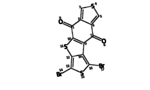 O=C1c2cscc2C(=O)c2c1sc1c(Br)sc(Br)c21